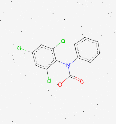 [O]C(=O)N(c1ccccc1)c1c(Cl)cc(Cl)cc1Cl